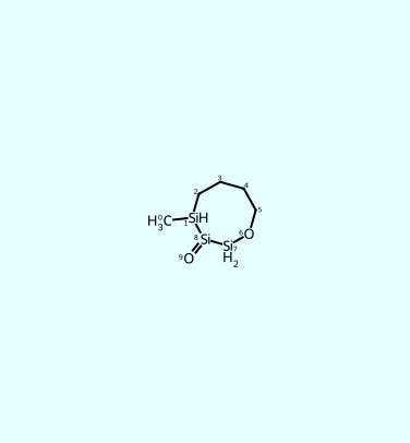 C[SiH]1CCCCO[SiH2][Si]1=O